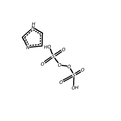 O=S(=O)(O)OOS(=O)(=O)O.c1c[nH]cn1